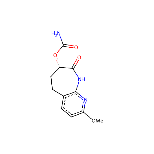 COc1ccc2c(n1)NC(=O)[C@@H](OC(N)=O)CC2